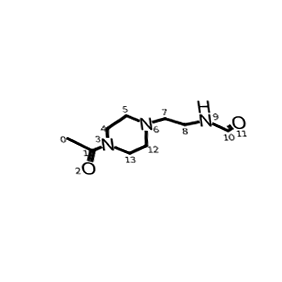 CC(=O)N1CCN(CCNC=O)CC1